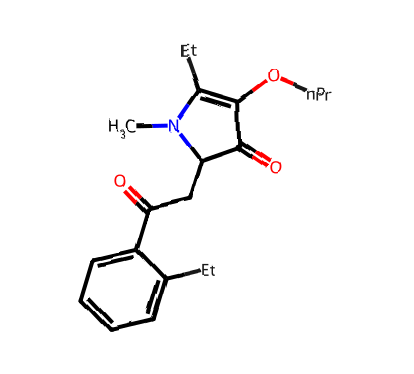 CCCOC1=C(CC)N(C)C(CC(=O)c2ccccc2CC)C1=O